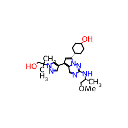 COC[C@H](C)Nc1ncc2c(-c3cnn(C(C)(C)CO)c3)cc([C@H]3CC[C@H](O)CC3)n2n1